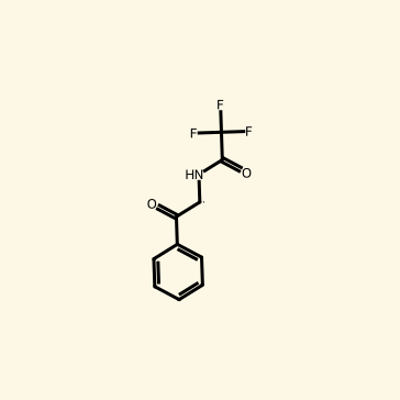 O=C([CH]NC(=O)C(F)(F)F)c1ccccc1